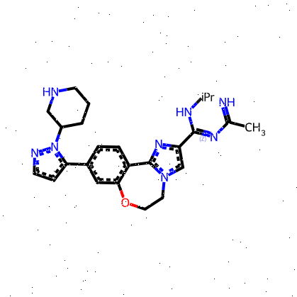 CC(=N)/N=C(\NC(C)C)c1cn2c(n1)-c1ccc(-c3ccnn3C3CCCNC3)cc1OCC2